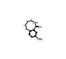 CC(C)(C)c1ccc2c(c1)C(=O)NCCCC2